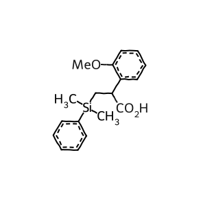 COc1ccccc1C(C[Si](C)(C)c1ccccc1)C(=O)O